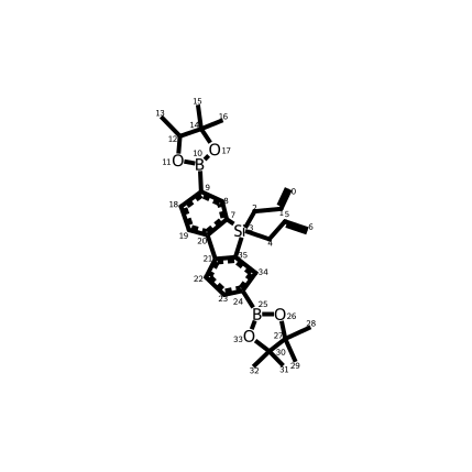 C=CC[Si]1(CC=C)c2cc(B3OC(C)C(C)(C)O3)ccc2-c2ccc(B3OC(C)(C)C(C)(C)O3)cc21